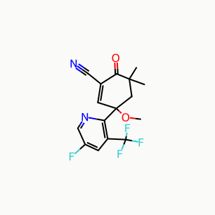 COC1(c2ncc(F)cc2C(F)(F)F)C=C(C#N)C(=O)C(C)(C)C1